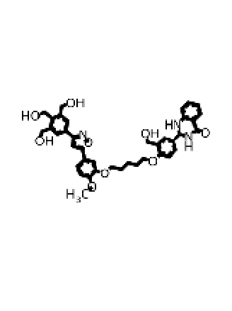 COc1ccc(-c2cc(-c3cc(CO)c(CO)c(CO)c3)no2)cc1OCCCCCOc1ccc(C2NC(=O)c3ccccc3N2)cc1CO